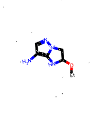 CCOC1C[N+]2N=CC(N)=C2N1